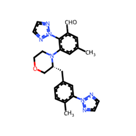 Cc1cc(C=O)c(-n2nccn2)c(N2CCOC[C@H]2Cc2ccc(C)c(-n3nccn3)c2)c1